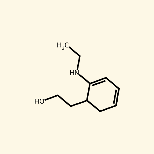 CCNC1=CC=CCC1CCO